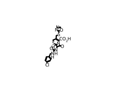 O=C(NCc1ccc(Cl)cc1)NC1C(=O)N2C(C(=O)O)=C(CSc3nnco3)CS[C@@H]12